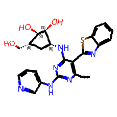 Cc1nc(Nc2cccnc2)nc(N[C@@H]2C[C@H](CO)[C@@H](O)[C@H]2O)c1-c1nc2ccccc2s1